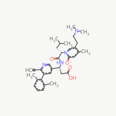 C#Cc1ncc([C@H](CC(=O)O)NC(=O)[C@H](CC(C)C)n2cc(CCN(C)C)c(C)cc2=O)cc1-c1c(C)cccc1C